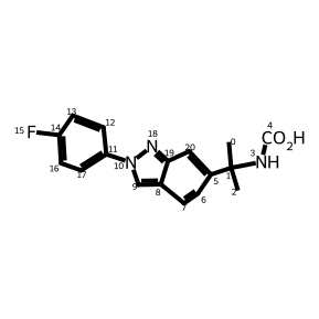 CC(C)(NC(=O)O)c1ccc2cn(-c3ccc(F)cc3)nc2c1